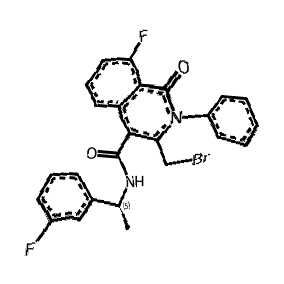 C[C@H](NC(=O)c1c(CBr)n(-c2ccccc2)c(=O)c2c(F)cccc12)c1cccc(F)c1